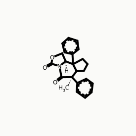 C[C@]1(c2ccccc2)C(=O)N2C(=O)OC[C@H]2C2(c3ccccc3)CCCC21